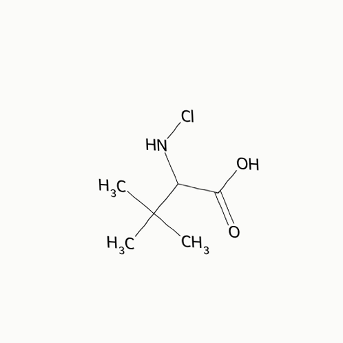 CC(C)(C)C(NCl)C(=O)O